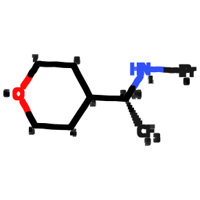 CC(C)N[C@@H](C1CCOCC1)C(F)(F)F